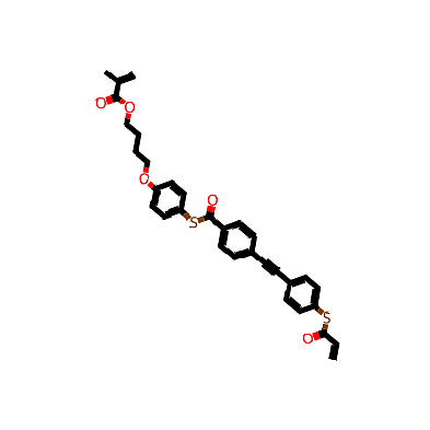 C=CC(=O)Sc1ccc(C#Cc2ccc(C(=O)Sc3ccc(OCCCCOC(=O)C(=C)C)cc3)cc2)cc1